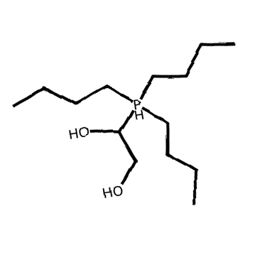 CCCC[PH](CCCC)(CCCC)C(O)CO